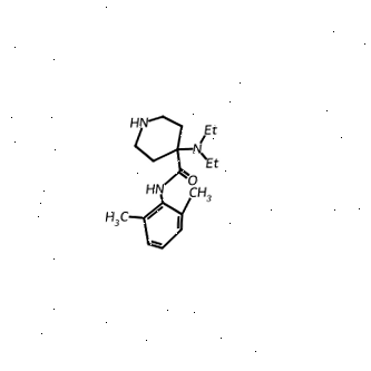 CCN(CC)C1(C(=O)Nc2c(C)cccc2C)CCNCC1